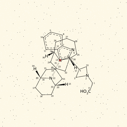 O=C(O)CN1CC(c2nc3ccccc3n2[C@H]2C[C@H]3CCC[C@@H](C2)N3[C@@H]2C[C@@H]3CCCC[C@@H](C3)C2)C1